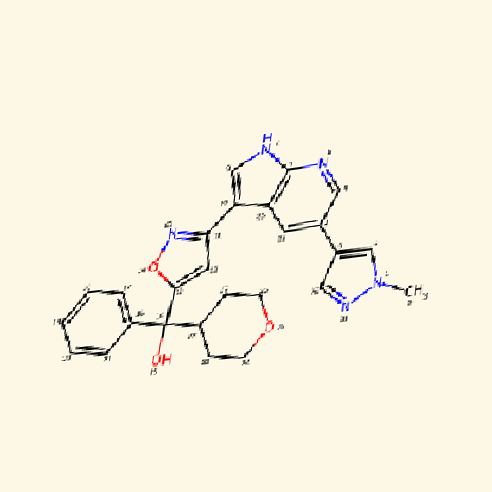 Cn1cc(-c2cnc3[nH]cc(-c4cc(C(O)(c5ccccc5)C5CCOCC5)on4)c3c2)cn1